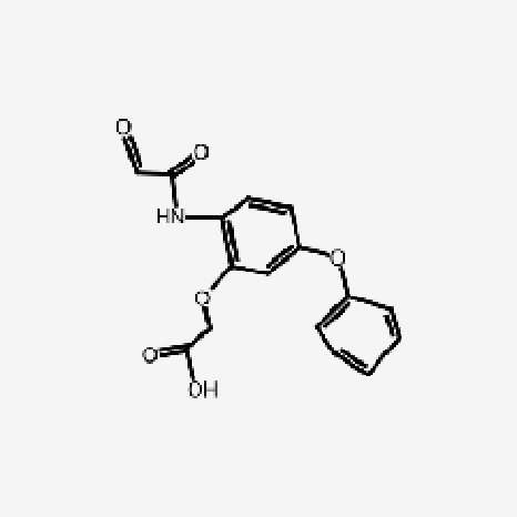 O=CC(=O)Nc1ccc(Oc2ccccc2)cc1OCC(=O)O